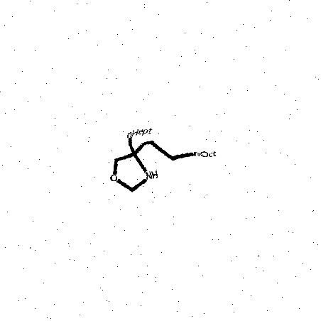 CCCCCCCCCCC1(CCCCCCC)COCN1